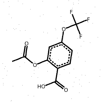 CC(=O)Oc1cc(OC(F)(F)F)ccc1C(=O)O